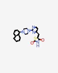 O=C1NC(=O)C(=Cc2ccnc(N3CCN(c4cccc5ccccc45)CC3)n2)S1